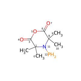 CC1(C)C(=O)OC(=O)C(C)(C)N1P